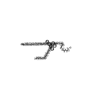 CC/C=C\C/C=C\C/C=C\C/C=C\CCCCC(=O)O[C@H](COC(=O)CCCCCCC/C=C\CCCCCC)COC(=O)CCCCCCCCCCCCCCCCCCC